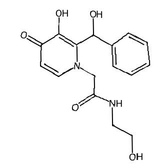 O=C(Cn1ccc(=O)c(O)c1C(O)c1ccccc1)NCCO